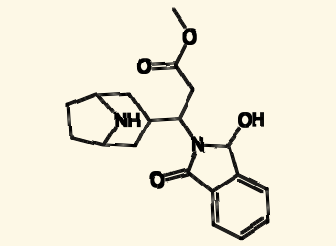 COC(=O)CC(C1CC2CCC(C1)N2)N1C(=O)c2ccccc2C1O